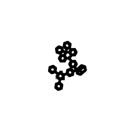 c1ccc(-c2nc(-c3ccccc3)nc(-c3ccc(C4(c5ccc(N6c7ccccc7C(c7ccccc7)(c7ccccc7)c7ccccc76)cc5)C5CC6CC(C5)CC4C6)cc3)n2)cc1